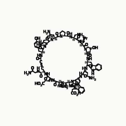 CCCC[C@H]1C(=O)N(C)[C@@H](CCCC)C(=O)N[C@@H](CCC(=O)O)C(=O)N[C@H](C(=O)NCC(N)=O)CSCC(=O)N[C@@H](Cc2ccc(O)cc2)C(=O)N(C)[C@@H](C)C(=O)N[C@@H](CC(N)=O)C(=O)N2CCCC2C(=O)N[C@@H](CN)C(=O)N[C@@H](CC(C)C)C(=O)N2C[C@H](O)C[C@H]2C(=O)N[C@@H](Cc2c[nH]c3ccccc23)C(=O)N[C@@H](CCN)C(=O)N[C@@H](Cc2cn(CC(=O)O)c3ccccc23)C(=O)N1C